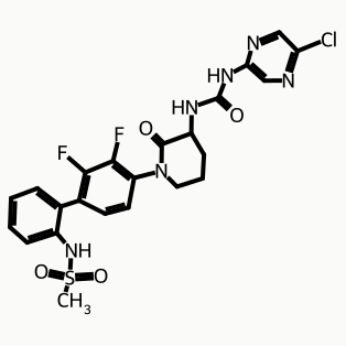 CS(=O)(=O)Nc1ccccc1-c1ccc(N2CCCC(NC(=O)Nc3cnc(Cl)cn3)C2=O)c(F)c1F